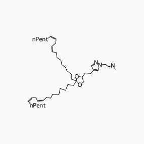 CCCCC/C=C\C/C=C\CCCCCCCCC1(CCCCCCCC/C=C\C/C=C\CCCCC)OCC(CCc2cnn(CCN(C)C)c2)O1